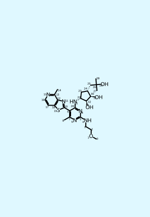 COCCNc1nc(C)c(-c2nc3c(C)nccc3s2)c(N[C@@H]2C[C@H](CC(C)(C)O)[C@@H](O)[C@H]2O)n1